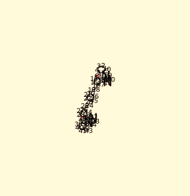 Cc1cccc(C)c1-n1ccnc1-c1cccc(CCc2ccc(CCc3cccc(-c4nccn4-c4c(C)cccc4C)c3)cc2)c1